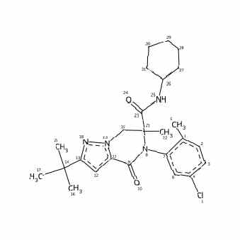 Cc1ccc(Cl)cc1N1C(=O)c2cc(C(C)(C)C)nn2CC1(C)C(=O)NC1CCCCC1